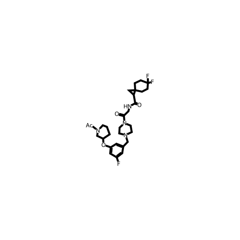 CC(=O)N1CCCC(Oc2cc(F)cc(CN3CCN(C(=O)CNC(=O)C4CC45CCC(F)(F)CC5)CC3)c2)C1